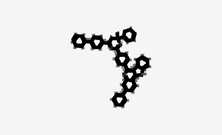 CC1(C2=CC=CCC2)CC(c2ccc(-c3cc#ccc3)cc2)=NC(c2ccc(-c3nc4cc(-c5ccccc5)ccc4c4sc5ccccc5c34)cc2)=N1